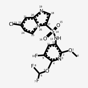 COc1nc(OC(F)F)c(F)cc1NS(=O)(=O)c1cnc2cc(Cl)ccn12